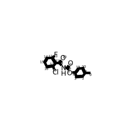 Cc1ccc(OC(=O)NC(=O)c2c(F)cccc2Cl)cc1